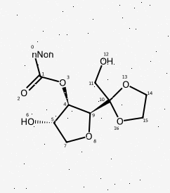 CCCCCCCCCC(=O)O[C@@H]1[C@@H](O)CO[C@@H]1C1(CO)OCCO1